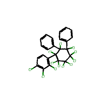 Clc1ccc(C2(Cl)C(Cl)(Cl)C(Cl)(Cl)C(Cl)(Cl)C(Cl)(c3ccccc3)C2(Cl)c2ccccc2)c(Cl)c1Cl